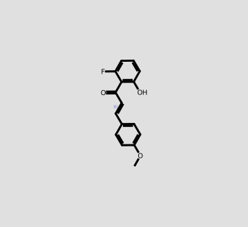 COc1ccc(/C=C/C(=O)c2c(O)cccc2F)cc1